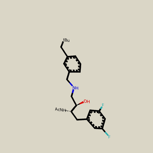 CC(=O)N[C@@H](Cc1cc(F)cc(F)c1)[C@H](O)CNCc1cccc(CC(C)(C)C)c1